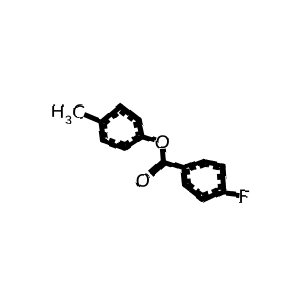 Cc1ccc(OC(=O)c2ccc(F)cc2)cc1